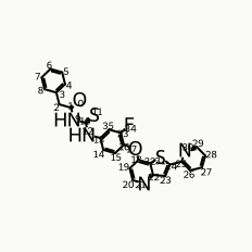 O=C(Cc1ccccc1)NC(=S)Nc1ccc(Oc2ccnc3cc(-c4ccccn4)sc23)c(F)c1